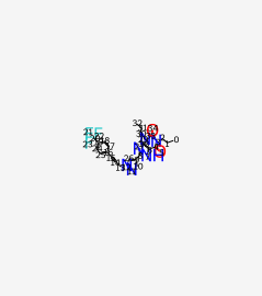 CCCn1c(=O)c2[nH]c(-c3cnn(CC#Cc4ccc(C(F)(F)F)cc4)c3)nc2n(CCC)c1=O